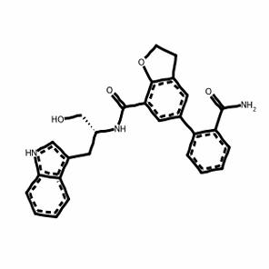 NC(=O)c1ccccc1-c1cc2c(c(C(=O)N[C@@H](CO)Cc3c[nH]c4ccccc34)c1)OCC2